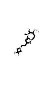 CN1C(=O)C(N)CCn2nc(CCN3CC(F)(F)C3)cc21